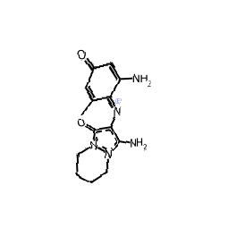 CC1=CC(=O)C=C(N)/C1=N/c1c(N)n2n(c1=O)CCCC2